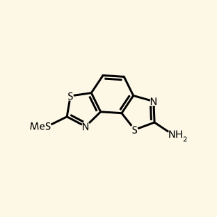 CSc1nc2c(ccc3nc(N)sc32)s1